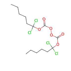 CCCCCC(Cl)(Cl)OC(=O)OOC(=O)OC(Cl)(Cl)CCCCC